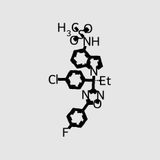 CC[C@@](c1ccc(Cl)cc1)(c1noc(-c2ccc(F)cc2)n1)n1ccc2c(NS(C)(=O)=O)cccc21